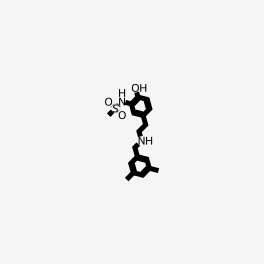 Cc1cc(C)cc(CNCCc2ccc(O)c(NS(C)(=O)=O)c2)c1